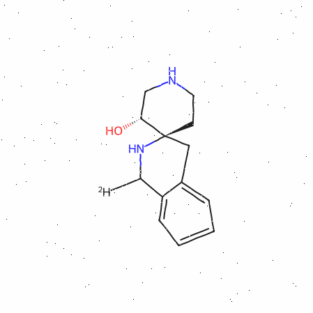 [2H]C1N[C@@]2(CCNC[C@H]2O)Cc2ccccc21